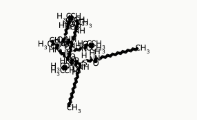 CCCCCCCCCCCCCCCCNC(=O)NCCSC[C@H](NC(=O)CCCCCCCCCCCCCCC)C(=O)N[C@H](COC(C)(C)C)C(=O)N[C@@H](CCCCNC(=O)OC(C)(C)C)C(=O)N[C@@H](CCCCNC(=O)OC(C)(C)C)C(=O)N[C@@H](CCCCNC(=O)OC(C)(C)C)C(=O)N[C@@H](CCCCNC(=O)OC(C)(C)C)C(=O)O